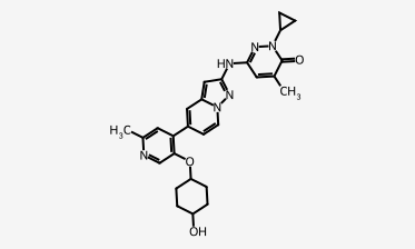 Cc1cc(-c2ccn3nc(Nc4cc(C)c(=O)n(C5CC5)n4)cc3c2)c(OC2CCC(O)CC2)cn1